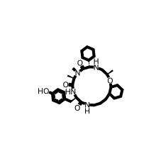 C[C@@H]1CN[C@@H](C2CCCCC2)C(=O)N(C)[C@H](C)C(=O)N[C@H](Cc2ccc(O)cc2)C(=O)NCCCC2CCCCC2O1